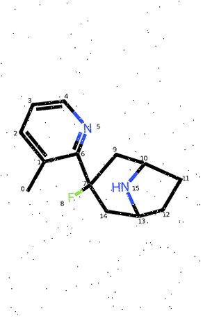 Cc1cccnc1C1(F)CC2CCC(C1)N2